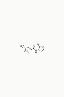 CC(C)COC(=O)NC1CCOC1=O